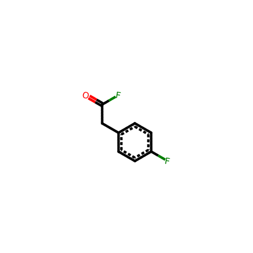 O=C(F)Cc1ccc(F)cc1